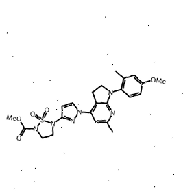 COC(=O)N1CCN(c2ccn(-c3cc(C)nc4c3CCN4c3ccc(OC)cc3C)n2)S1(=O)=O